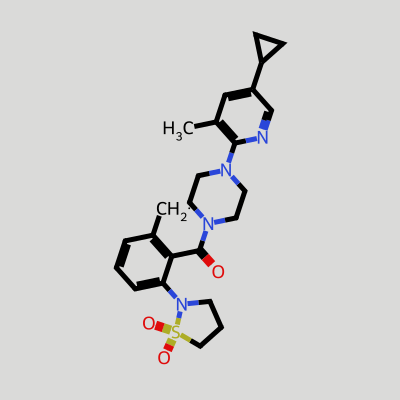 [CH2]c1cccc(N2CCCS2(=O)=O)c1C(=O)N1CCN(c2ncc(C3CC3)cc2C)CC1